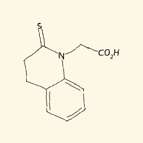 O=C(O)CN1C(=S)CCc2ccccc21